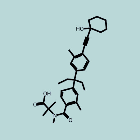 CCC(CC)(c1ccc(C#CC2(O)CCCCC2)c(C)c1)c1ccc(C(=O)N(C)C(C)(C)C(=O)O)c(C)c1